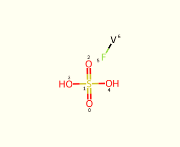 O=S(=O)(O)O.[F][V]